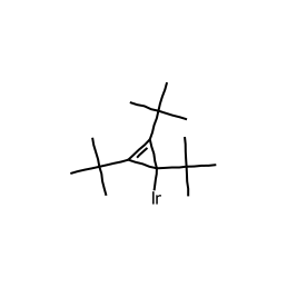 CC(C)(C)C1=C(C(C)(C)C)[C]1([Ir])C(C)(C)C